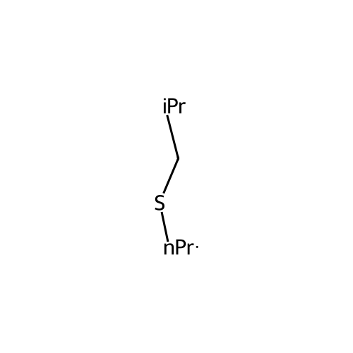 CC[CH]SCC(C)C